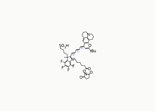 CC(C)(C)C1=C\C(=C/C=C/C=C/C2=[N+](CCCCCC(=O)ON3C(=O)CCC3=O)c3c(F)c(F)c(F)c(F)c3C2(C)CCCCS(=O)(=O)O)c2cc3c4c(c2O1)CCCN4CCC3